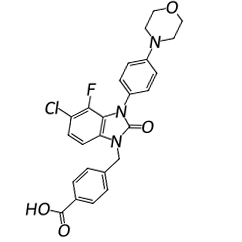 O=C(O)c1ccc(Cn2c(=O)n(-c3ccc(N4CCOCC4)cc3)c3c(F)c(Cl)ccc32)cc1